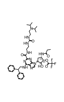 CCC(=O)N[C@H]1C[C@@H](n2cnc3c(NCC(c4ccccc4)c4ccccc4)nc(C(=O)NCCNC(=O)NCCN(C(C)C)C(C)C)nc32)[C@H](O)[C@@H]1OC(=O)C(F)(F)F